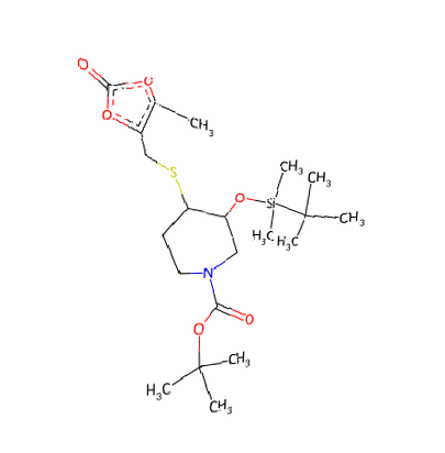 Cc1oc(=O)oc1CSC1CCN(C(=O)OC(C)(C)C)CC1O[Si](C)(C)C(C)(C)C